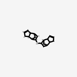 C1=CC2C(C1)C1CC(SC3CC4CC3C3CC=CC43)C2C1